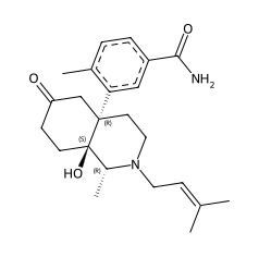 CC(C)=CCN1CC[C@]2(c3cc(C(N)=O)ccc3C)CC(=O)CC[C@@]2(O)[C@H]1C